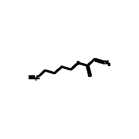 C=CC(=O)SCCCCC(=O)O